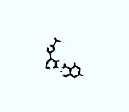 Cn1cc(-c2ccnc(-n3ncc4cc(C(C)(C)C)cc(F)c4c3=O)c2C=O)cc1C(N)=O